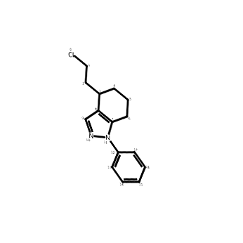 ClCCC1CCCc2c1cnn2-c1ccccc1